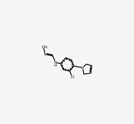 O/N=C/Nc1ccc(N2CC=CC2)c(Cl)c1